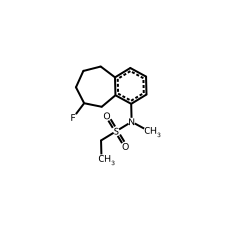 CCS(=O)(=O)N(C)c1cccc2c1CC(F)CCC2